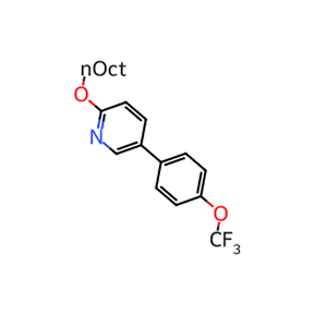 CCCCCCCCOc1ccc(-c2ccc(OC(F)(F)F)cc2)cn1